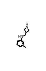 Cc1cccc(NCC2CNC2)c1